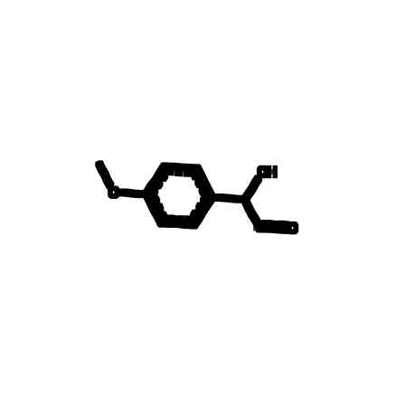 COc1ccc(C(O)[C]=O)cc1